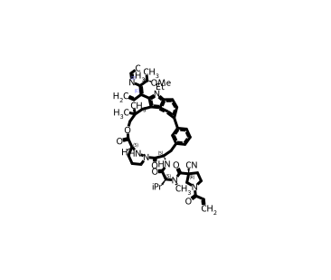 C=CC(=O)N1CC[C@@](C#N)(C(=O)N(C)[C@H](C(=O)N[C@H]2Cc3cccc(c3)-c3ccc4c(c3)c(c(/C(C=C)=C(/N=C\C)[C@H](C)OC)n4CC)CC(C)(C)COC(=O)[C@@H]3CCCN(N3)C2=O)C(C)C)C1